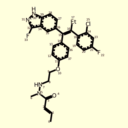 CC=CC(=O)N(C)NCCOc1ccc(/C(=C(/CC)c2ccc(F)cc2Cl)c2ccc3[nH]nc(F)c3c2)cc1